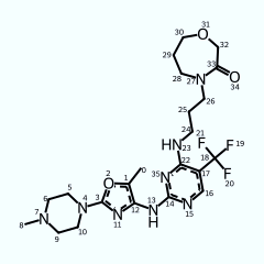 Cc1oc(N2CCN(C)CC2)nc1Nc1ncc(C(F)(F)F)c(NCCCN2CCCOCC2=O)n1